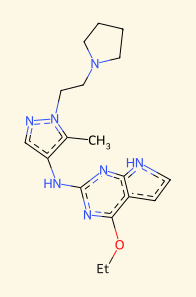 CCOc1nc(Nc2cnn(CCN3CCCC3)c2C)nc2[nH]ccc12